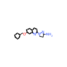 NC1=NN(c2ccc3ccc(OCc4ccccc4)cc3n2)CC1